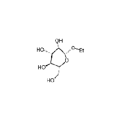 [CH2]CO[C@@H]1O[C@H](CO)[C@@H](O)[C@H](O)[C@@H]1O